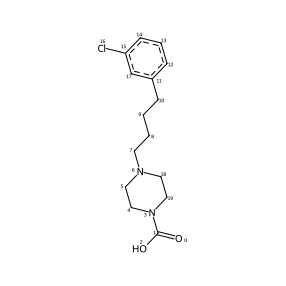 O=C(O)N1CCN(CCCCc2cccc(Cl)c2)CC1